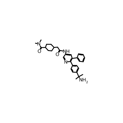 CN(C)C(=O)C1CCC(CC(=O)Nc2cnc(-c3ccc(C(C)(C)N)cc3)c(-c3ccccc3)c2)CC1